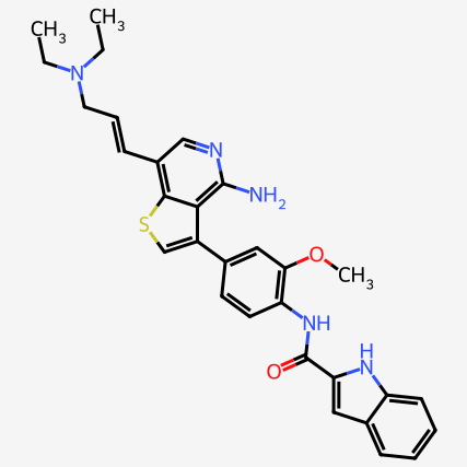 CCN(CC)CC=Cc1cnc(N)c2c(-c3ccc(NC(=O)c4cc5ccccc5[nH]4)c(OC)c3)csc12